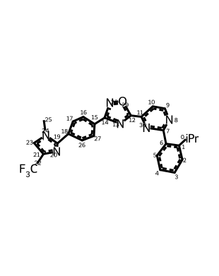 CC(C)c1ccccc1-c1nccc(-c2nc(-c3ccc(-c4nc(C(F)(F)F)cn4C)cc3)no2)n1